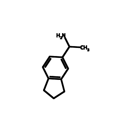 CC(N)c1ccc2c(c1)CCC2